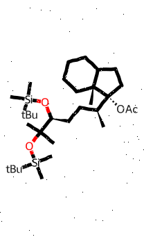 CC(=O)O[C@@]1([C@@H](C)CC[C@H](O[Si](C)(C)C(C)(C)C)C(C)(C)O[Si](C)(C)C(C)(C)C)CCC2CCCC[C@]21C